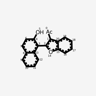 CC(=O)c1c(-c2c(O)ccc3ccccc23)oc2ccccc12